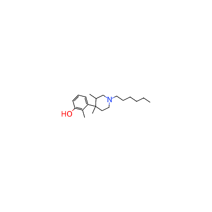 CCCCCCN1CCC(C)(c2cccc(O)c2C)C(C)C1